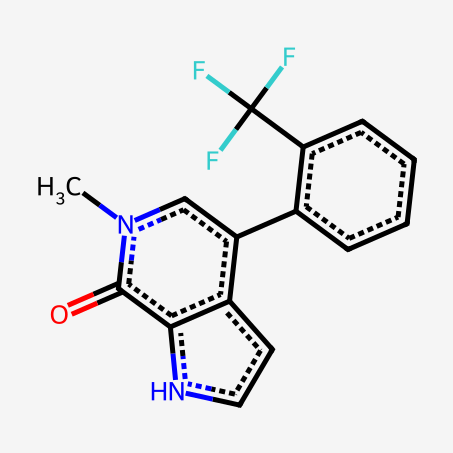 Cn1cc(-c2ccccc2C(F)(F)F)c2cc[nH]c2c1=O